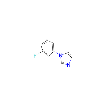 Fc1c[c]cc(-n2ccnc2)c1